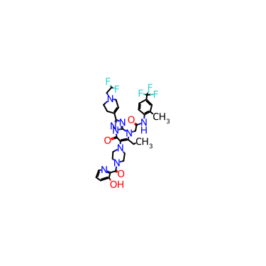 CCc1c(N2CCN(C(=O)c3ncccc3O)CC2)c(=O)n2nc(C3=CCN(CC(F)F)CC3)nc2n1CC(=O)Nc1ccc(C(F)(F)F)cc1C